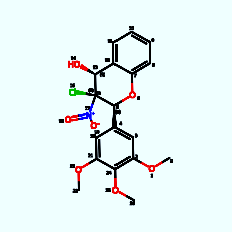 COc1cc([C@@H]2Oc3ccccc3[C@H](O)[C@@]2(Cl)[N+](=O)[O-])cc(OC)c1OC